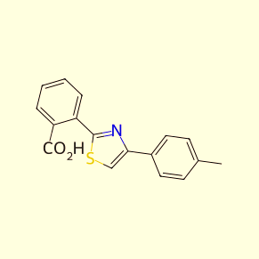 Cc1ccc(-c2csc(-c3ccccc3C(=O)O)n2)cc1